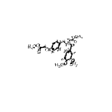 COC(=O)COc1ccc(CCN(CC(=O)OC)Cc2ccc(OC)c(OC)c2)cc1